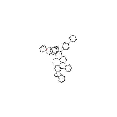 C1=CC(N(c2ccc(-c3ccccc3)cc2)c2ccc(-c3ccccc3)cc2)C2C(=C1)c1c(cc3oc4ccccc4c3c1-c1ccccc1)CCC2c1cccc2ccccc12